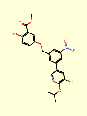 COC(=O)c1cc(OCc2cc(-c3cnc(OC(C)C)c(Cl)c3)cc([N+](=O)[O-])c2)ccc1O